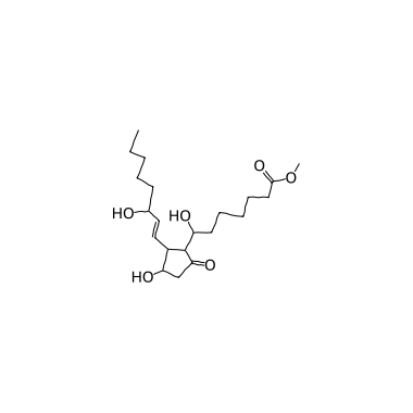 CCCCCC(O)C=CC1C(O)CC(=O)C1C(O)CCCCCC(=O)OC